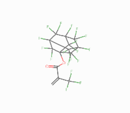 C=C(C(=O)OC12C(F)(F)C3(F)C(F)(F)C(F)(C(F)(F)C(F)(C3(F)F)C1(F)F)C2(F)F)C(F)(F)F